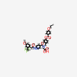 CCCOc1ccc(C(=O)Oc2ccc(CN(CC(=O)O)C(=O)c3ccc(NC(=O)Cc4ccc(OC)cc4C(F)(F)F)cc3)cc2)cc1